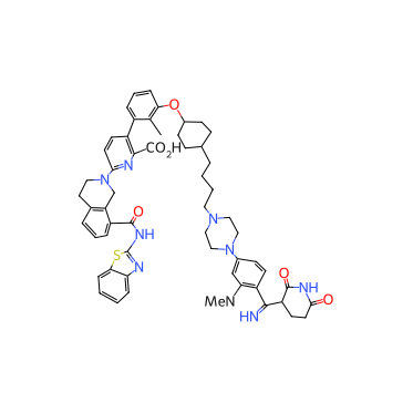 CNc1cc(N2CCN(CCCCC3CCC(Oc4cccc(-c5ccc(N6CCc7cccc(C(=O)Nc8nc9ccccc9s8)c7C6)nc5C(=O)O)c4C)CC3)CC2)ccc1C(=N)C1CCC(=O)NC1=O